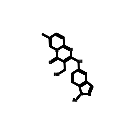 CC(=O)n1ncc2cc(Nc3nc4ccc(C)cn4c(=O)c3CO)ccc21